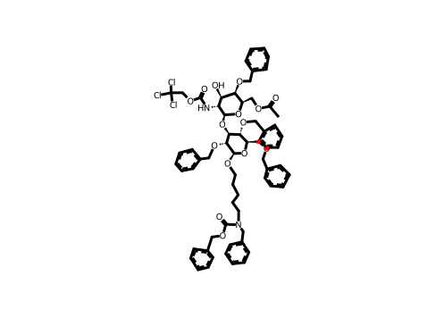 CC(=O)OC[C@H]1O[C@@H](O[C@@H]2[C@@H](OCc3ccccc3)[C@H](OCCCCCN(Cc3ccccc3)C(=O)OCc3ccccc3)O[C@H](COCc3ccccc3)[C@H]2OCc2ccccc2)[C@H](NC(=O)OCC(Cl)(Cl)Cl)[C@@H](O)[C@H]1OCc1ccccc1